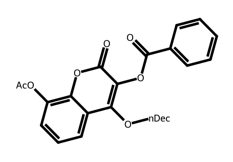 CCCCCCCCCCOc1c(OC(=O)c2ccccc2)c(=O)oc2c(OC(C)=O)cccc12